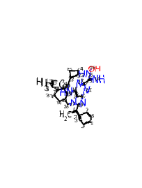 C=C(c1ccccc1)c1nc2nc(C(=N)NO)nc(N[C@H](C)C3CCC3)c2n1CC1CCC(C)CC1